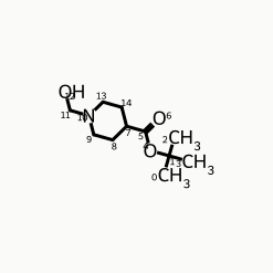 CC(C)(C)OC(=O)C1CCN(CO)CC1